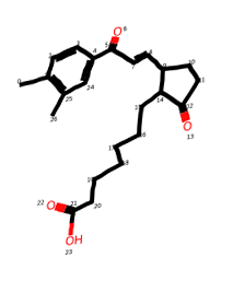 Cc1ccc(C(=O)/C=C/C2CCC(=O)C2CCCCCCC(=O)O)cc1C